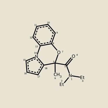 CCN(CC)C(=O)C1(C)Oc2ccccc2-n2cccc21